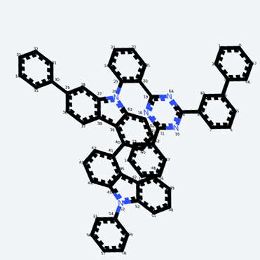 c1ccc(-c2cccc(-c3nc(-c4ccccc4)nc(-c4ccccc4-n4c5cc(-c6ccccc6)ccc5c5c(-c6cccc7c6c6ccccc6n7-c6ccccc6)cccc54)n3)c2)cc1